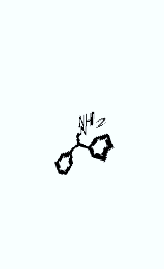 NN=CC(c1ccccc1)c1ccccc1